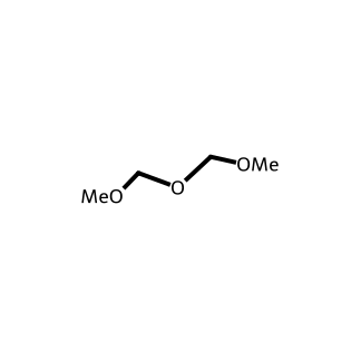 COCOCOC